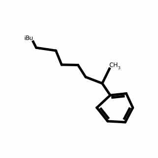 CCC(C)CCCCCC(C)c1ccccc1